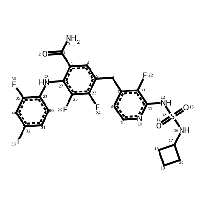 NC(=O)c1cc(Cc2ccnc(NS(=O)(=O)NC3CCC3)c2F)c(F)c(F)c1Nc1ccc(I)cc1F